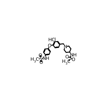 CS(=O)(=O)Nc1ccc(Oc2ccc(CN3CCC(NS(C)(=O)=O)CC3)cc2)cc1.Cl